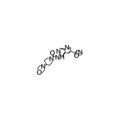 O=C(Nc1cc2cc(-c3cnco3)cnc2cn1)N1CCC(N2CCOCC2)CC1